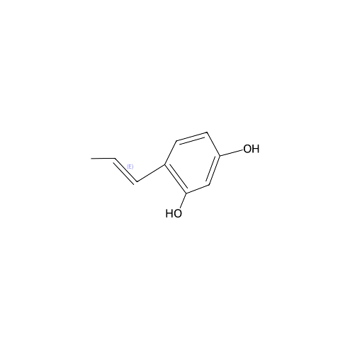 C/C=C/c1ccc(O)cc1O